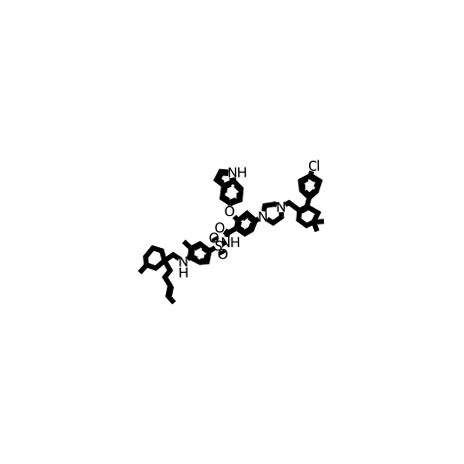 CC=CCCC1(CNc2ccc(S(=O)(=O)NC(=O)c3ccc(N4CCN(CC5=C(c6ccc(Cl)cc6)CC(C)(C)CC5)CC4)cc3Oc3ccc4[nH]ccc4c3)cc2C)CCCC(C)C1